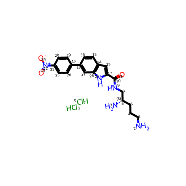 Cl.Cl.NCCC[C@H](N)CNC(=O)c1cc2ccc(-c3ccc([N+](=O)[O-])cc3)cc2[nH]1